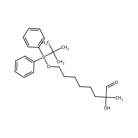 CC(O)(C=O)CCCCCCO[Si](c1ccccc1)(c1ccccc1)C(C)(C)C